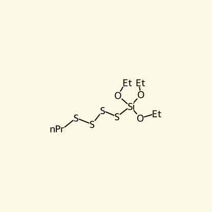 CCCSSSS[Si](OCC)(OCC)OCC